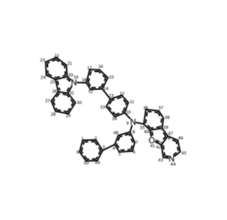 c1ccc(-c2cccc(N(c3ccc(-c4cccc(-n5c6ccccc6c6ccccc65)c4)cc3)c3cccc4c3oc3cnccc34)c2)cc1